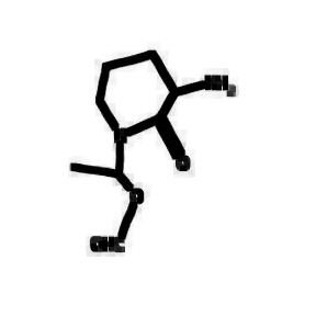 CC(OC=O)N1CCCC(N)C1=O